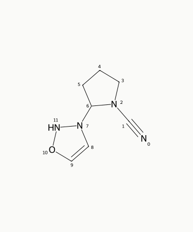 N#CN1CCCC1N1C=CON1